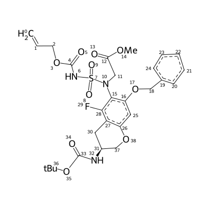 C=CCOC(=O)NS(=O)(=O)N(CC(=O)OC)c1c(OCc2ccccc2)cc2c(c1F)C[C@H](NC(=O)OC(C)(C)C)CO2